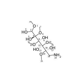 COC(O)[C@](O)(OC)[C@](O)(OC)[C@@](O)(OC)[C@@](O)(CN)OC